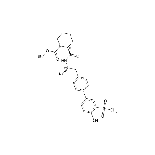 CC(C)(C)OC(=O)N1CCCC[C@H]1C(=O)N[C@H](C#N)Cc1ccc(-c2ccc(C#N)c(S(C)(=O)=O)c2)cc1